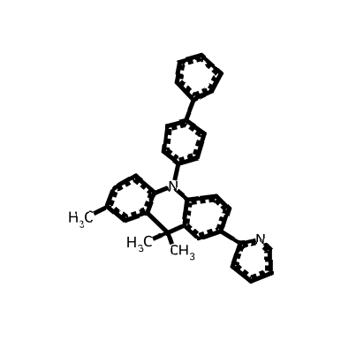 Cc1ccc2c(c1)C(C)(C)c1cc(-c3ccccn3)ccc1N2c1ccc(-c2ccccc2)cc1